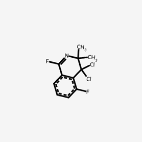 CC1(C)N=C(F)c2cccc(F)c2C1(Cl)Cl